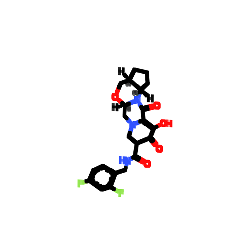 O=C(NCc1ccc(F)cc1F)C1CN2C[C@H]3OC[C@@H]4CCC[C@@H]4N3C(=O)C2=C(O)C1=O